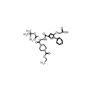 CCOC(=O)N1CCN(C(=O)[C@H](CC(=O)OC(C)(C)C)NC(=O)c2cc(OCC(=O)O)n(-c3ccccc3)n2)CC1